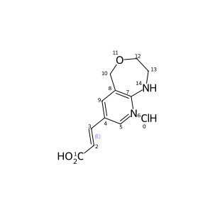 Cl.O=C(O)/C=C/c1cnc2c(c1)COCCN2